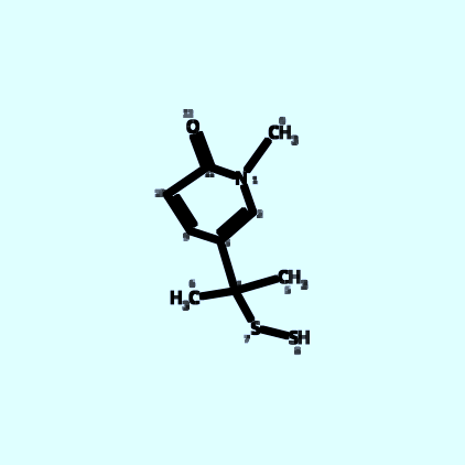 Cn1cc(C(C)(C)SS)ccc1=O